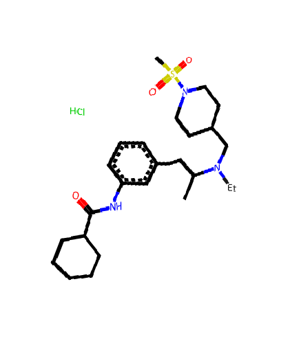 CCN(CC1CCN(S(C)(=O)=O)CC1)C(C)Cc1cccc(NC(=O)C2CCCCC2)c1.Cl